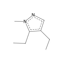 CCc1cnn(C)c1CC